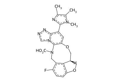 Cc1nc(-c2cc3c(n4cnnc24)N(C(=O)O)Cc2c(F)ccc4c2[C@@H](CO4)CO3)n(C)c1C